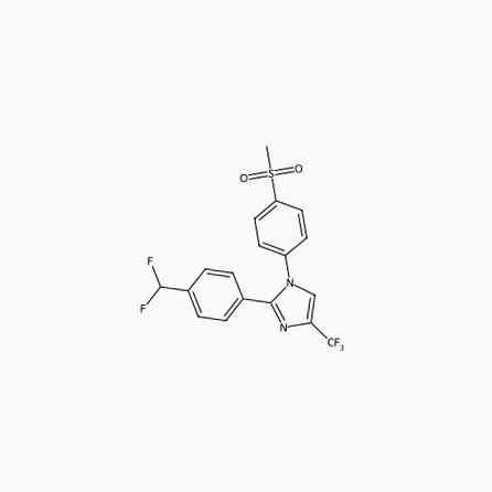 CS(=O)(=O)c1ccc(-n2cc(C(F)(F)F)nc2-c2ccc(C(F)F)cc2)cc1